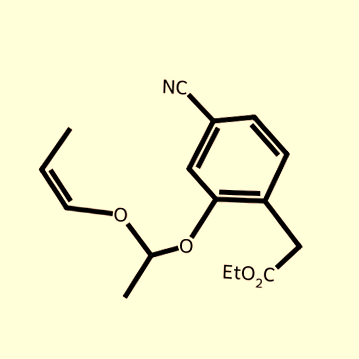 C/C=C\OC(C)Oc1cc(C#N)ccc1CC(=O)OCC